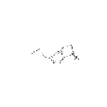 CC(=O)N1CCc2cc(CCCl)ccc21